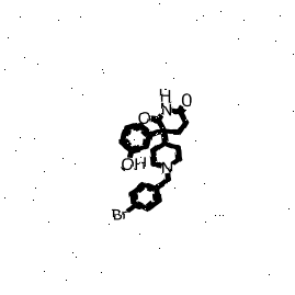 O=C1CCC(c2cccc(O)c2)(C2CCN(Cc3ccc(Br)cc3)CC2)C(=O)N1